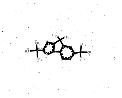 CC(C)(C)c1ccc2c(c1)C(C)(C)c1cc(C(C)(C)C)sc1-2